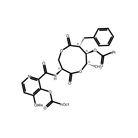 CCCCCCCCC(=O)Oc1c(OC)ccnc1C(=O)N[C@H]1COC(=O)[C@H](Cc2ccccc2)[C@@H](OC(=O)C(C)C)[C@H](C)OC1=O